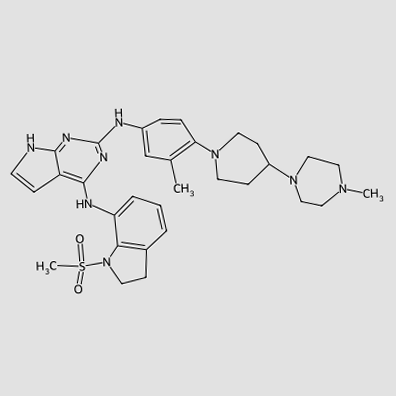 Cc1cc(Nc2nc(Nc3cccc4c3N(S(C)(=O)=O)CC4)c3cc[nH]c3n2)ccc1N1CCC(N2CCN(C)CC2)CC1